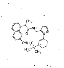 CC(C(=O)NCc1ccnn1C1=CC(C(C)(C)C)CCC1)c1cccc2ccc(O)cc12